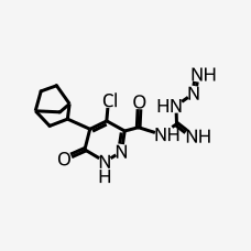 N=NNC(=N)NC(=O)c1n[nH]c(=O)c(C2CC3CCC2C3)c1Cl